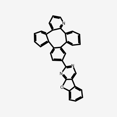 c1ccc2c(c1)-c1ccc(-c3ncc4c(n3)oc3ccccc34)cc1-c1ccccc1-c1ncccc1-2